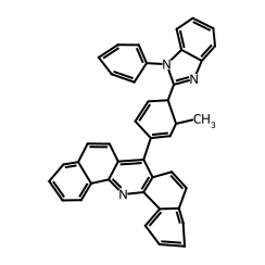 CC1C=C(c2c3ccc4ccccc4c3nc3c2ccc2ccccc23)C=CC1c1nc2ccccc2n1-c1ccccc1